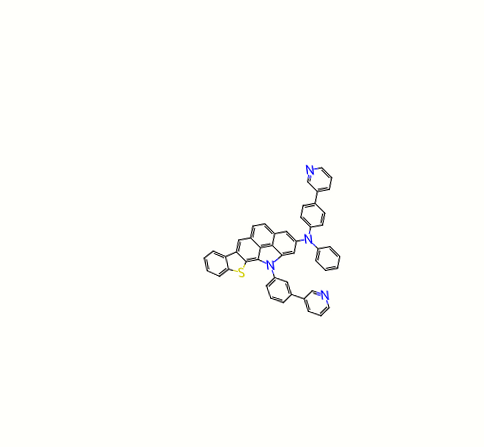 c1ccc(N(c2ccc(-c3cccnc3)cc2)c2cc3ccc4cc5c6ccccc6sc5c5c4c3c(c2)n5-c2cccc(-c3cccnc3)c2)cc1